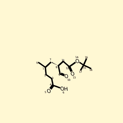 CC(CCC(=O)O)C[C@@H](C=O)CC(=O)OC(C)(C)C